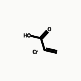 C=CC(=O)O.[Cr]